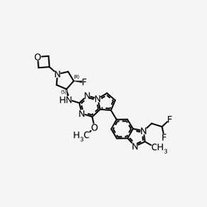 COc1nc(N[C@H]2CN(C3COC3)C[C@H]2F)nn2ccc(-c3ccc4nc(C)n(CC(F)F)c4c3)c12